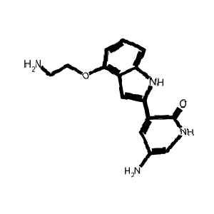 NCCOc1cccc2[nH]c(-c3cc(N)c[nH]c3=O)cc12